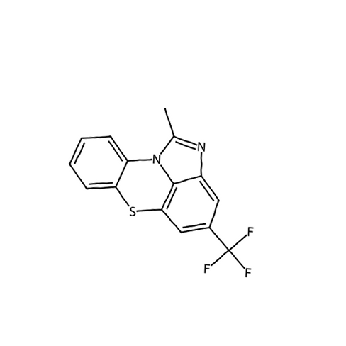 Cc1nc2cc(C(F)(F)F)cc3c2n1-c1ccccc1S3